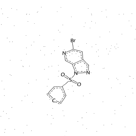 O=S(=O)(c1ccccc1)n1ncc2cc(Br)ncc21